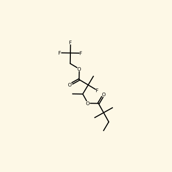 CCC(C)(C)C(=O)OC(C)C(C)(F)C(=O)OCC(F)(F)F